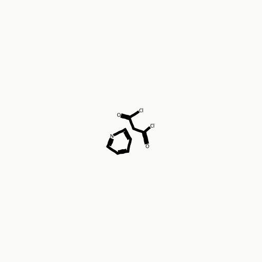 O=C(Cl)CC(=O)Cl.c1ccncc1